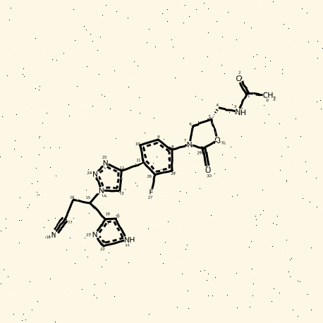 CC(=O)NC[C@H]1CN(c2ccc(-c3cn(C(CC#N)c4c[nH]cn4)nn3)c(F)c2)C(=O)O1